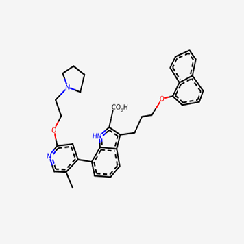 Cc1cnc(OCCN2CCCC2)cc1-c1cccc2c(CCCOc3cccc4ccccc34)c(C(=O)O)[nH]c12